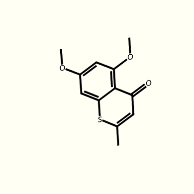 COc1cc(OC)c2c(=O)cc(C)sc2c1